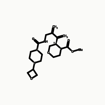 C=C(CNC(=O)N1CCN(C2COC2)CC1)C(=C)[C@@H]1COCCN1C(=O)OC(C)(C)C